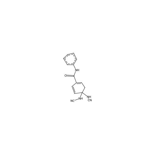 N#CNC1(NC#N)C=CC(C(=O)Nc2ccccc2)=CC1